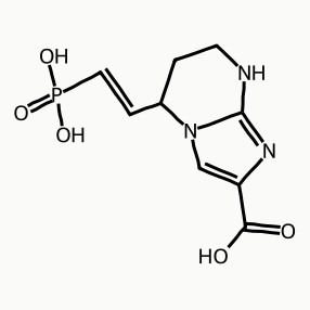 O=C(O)c1cn2c(n1)NCCC2/C=C/P(=O)(O)O